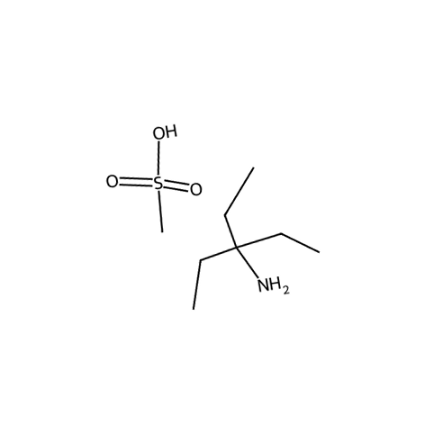 CCC(N)(CC)CC.CS(=O)(=O)O